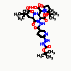 CC(C)(C)OC(=O)NNc1ccc(C(=O)NN(C(=O)[C@@H](N)CC(C(=O)O)C(C)(C)C)[C@@H](CC(C(=O)O)[N+]2(O)C(=O)CCC2=O)C(=O)OC(C)(C)C)cn1